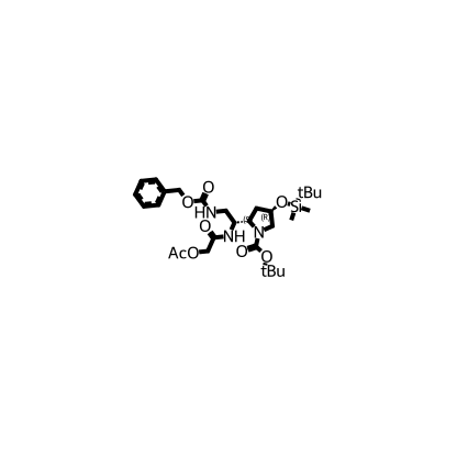 CC(=O)OCC(=O)NC(CNC(=O)OCc1ccccc1)[C@@H]1C[C@@H](O[Si](C)(C)C(C)(C)C)CN1C(=O)OC(C)(C)C